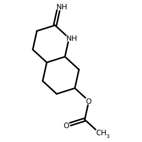 CC(=O)OC1CCC2CCC(=N)NC2C1